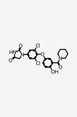 O=C1CN(c2cc(Cl)c(Oc3ccc(O)c(C(=O)N4CCCCC4)c3)c(Cl)c2)C(=O)N1